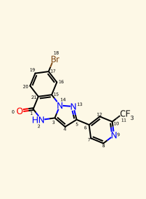 O=c1[nH]c2cc(-c3ccnc(C(F)(F)F)c3)nn2c2cc(Br)ccc12